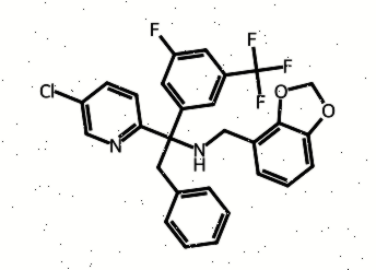 Fc1cc(C(F)(F)F)cc(C(Cc2ccccc2)(NCc2cccc3c2OCO3)c2ccc(Cl)cn2)c1